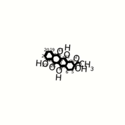 CC(=O)[C@@]1(O)CCc2c(O)c3c(c(O)c2C1)C(=O)c1cccc(O)c1C3=O